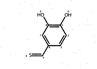 Oc1ccc(C=S)cc1O